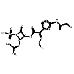 CON=C(C(=O)N[C@@H]1C(=O)N(S(=O)(=O)O)[C@@H]1SC(C)C)c1csc(NC(=O)CCl)n1